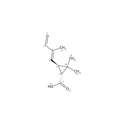 C/C(C=O)=C\[C@@H]1[C@@H](C(=O)O)C1(C)C